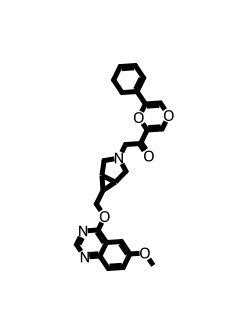 COc1ccc2ncnc(OCC3C4CN(CC(=O)C5=COC=C(C6=CC=CCC6)O5)CC34)c2c1